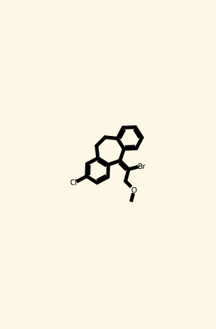 COCC(Br)=C1c2ccccc2CCc2cc(Cl)ccc21